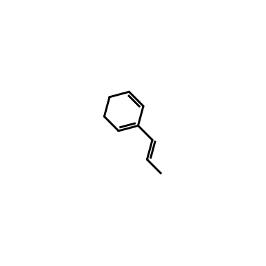 C/C=C/C1=CCCC=C1